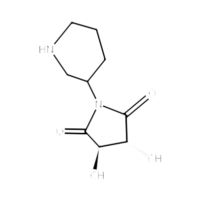 C[C@H]1C(=O)N(C2CCCNC2)C(=O)[C@@H]1C